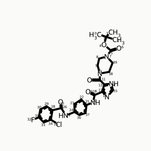 CC(C)(C)OC(=O)N1CCN(C(=O)c2[nH]cnc2C(=O)Nc2ccc(NC(=O)c3ccc(F)cc3Cl)cc2)CC1